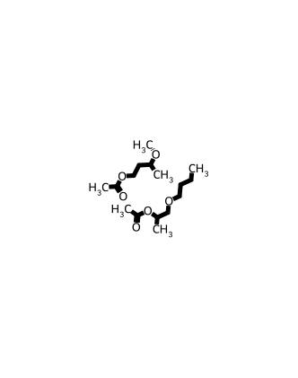 CCCCOCC(C)OC(C)=O.COC(C)CCOC(C)=O